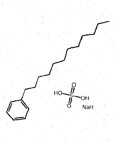 CCCCCCCCCCCCc1ccccc1.O=S(=O)(O)O.[NaH]